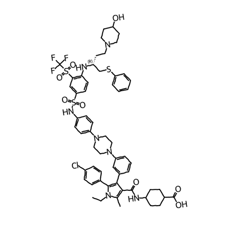 CCn1c(C)c(C(=O)NC2CCC(C(=O)O)CC2)c(-c2cccc(N3CCN(c4ccc(NS(=O)(=O)c5ccc(N[C@H](CCN6CCC(O)CC6)CSc6ccccc6)c(S(=O)(=O)C(F)(F)F)c5)cc4)CC3)c2)c1-c1ccc(Cl)cc1